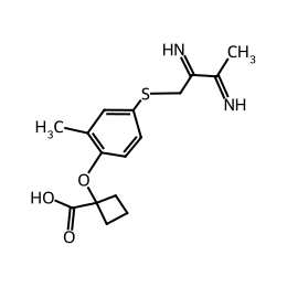 CC(=N)C(=N)CSc1ccc(OC2(C(=O)O)CCC2)c(C)c1